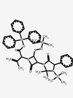 C=C(C)C(C(=O)O[Si](c1ccccc1)(c1ccccc1)c1ccccc1)N1C(=O)C(N2C(=O)C(c3ccccc3)N([Si](C)(C)C)C2(C)C)C1SO[Si](C)(C)C